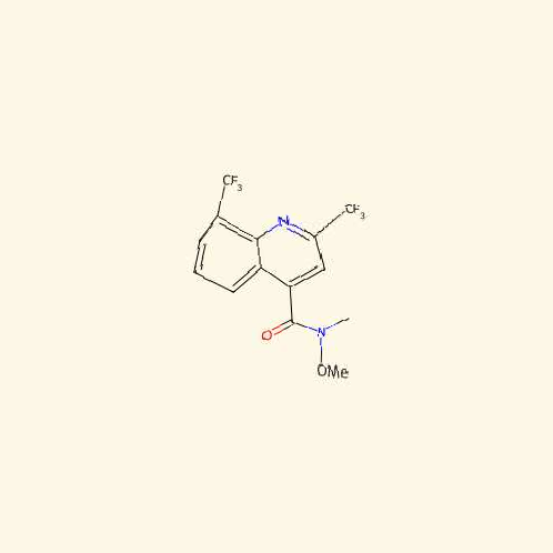 CON(C)C(=O)c1cc(C(F)(F)F)nc2c(C(F)(F)F)cccc12